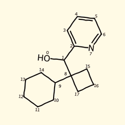 OC(c1ccccn1)C1(C2CCCCC2)CCC1